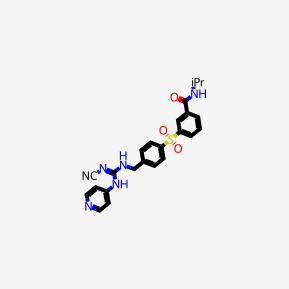 CC(C)NC(=O)c1cccc(S(=O)(=O)c2ccc(CNC(=NC#N)Nc3ccncc3)cc2)c1